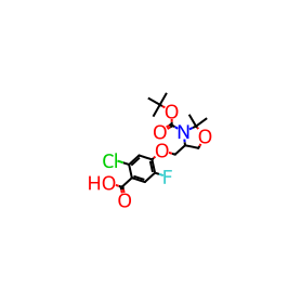 CC(C)(C)OC(=O)N1C(COc2cc(Cl)c(C(=O)O)cc2F)COC1(C)C